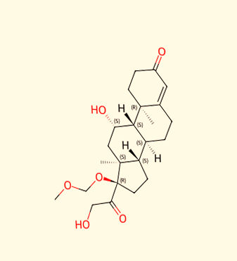 COCO[C@]1(C(=O)CO)CC[C@H]2[C@@H]3CCC4=CC(=O)CC[C@]4(C)[C@H]3[C@@H](O)C[C@@]21C